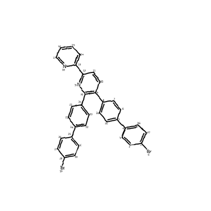 Brc1ccc(-c2ccc(-c3ccc(-c4ccccn4)nc3-c3ccc(-c4ccc(Br)cc4)cc3)cc2)cc1